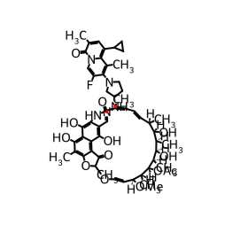 CO[C@H]1/C=C/O[C@@]2(C)Oc3c(C)c(O)c4c(O)c(c(/C=N/N[C@H]5CCN(c6c(F)cn7c(=O)c(C)cc(C8CC8)c7c6C)C5)c(O)c4c3C2=O)NC(=O)/C(C)=C\C=C\[C@H](C)[C@H](O)[C@@H](C)[C@@H](O)[C@@H](C)[C@H](OC(C)=O)[C@@H]1C